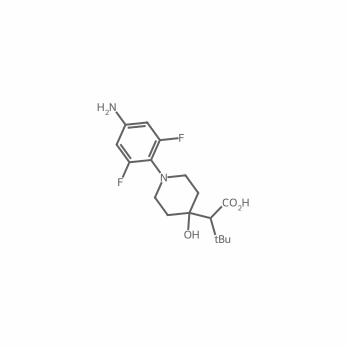 CC(C)(C)C(C(=O)O)C1(O)CCN(c2c(F)cc(N)cc2F)CC1